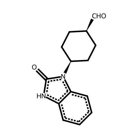 O=C[C@H]1CC[C@@H](n2c(=O)[nH]c3ccccc32)CC1